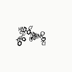 CC(C)(C)[Si](OCCOc1c(-c2ccc(N3C[C@H](CNC(=O)c4ccc(Cl)s4)OC3=O)cc2Cl)cc[nH]c1=O)(c1ccccc1)c1ccccc1